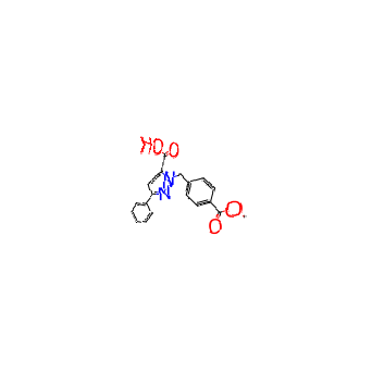 COC(=O)c1ccc(Cn2nc(-c3ccccc3)cc2C(=O)O)cc1